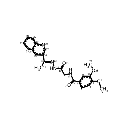 COc1ccc(C(=O)NCC(=O)N/N=C(\C)c2cnc3ccccc3c2)cc1OC